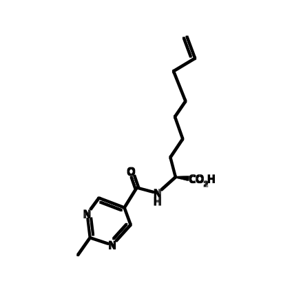 C=CCCCCC[C@H](NC(=O)c1cnc(C)nc1)C(=O)O